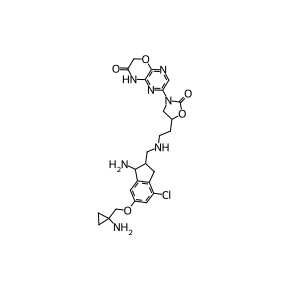 NC1c2cc(OCC3(N)CC3)cc(Cl)c2CC1CNCCC1CN(c2cnc3c(n2)NC(=O)CO3)C(=O)O1